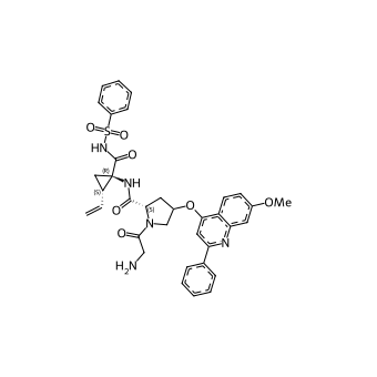 C=C[C@@H]1C[C@]1(NC(=O)[C@@H]1CC(Oc2cc(-c3ccccc3)nc3cc(OC)ccc23)CN1C(=O)CN)C(=O)NS(=O)(=O)c1ccccc1